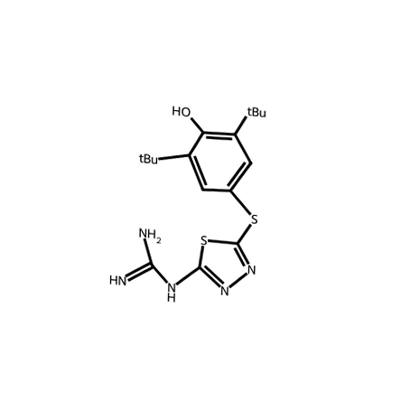 CC(C)(C)c1cc(Sc2nnc(NC(=N)N)s2)cc(C(C)(C)C)c1O